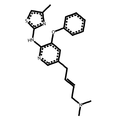 Cc1csc(Nc2ncc(CC=CCN(C)C)cc2Oc2ccccc2)n1